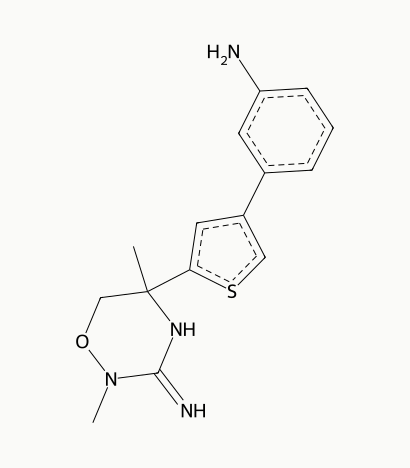 CN1OCC(C)(c2cc(-c3cccc(N)c3)cs2)NC1=N